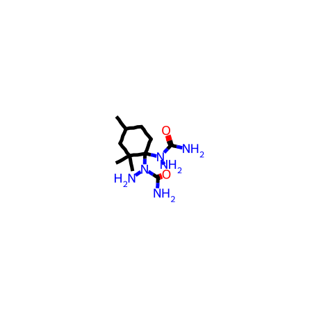 CC1CCC(N(N)C(N)=O)(N(N)C(N)=O)C(C)(C)C1